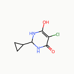 O=C1NC(C2CC2)NC(O)=C1Cl